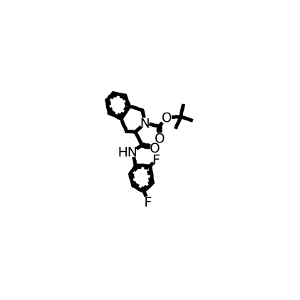 CC(C)(C)OC(=O)N1Cc2ccccc2CC1C(=O)Nc1ccc(F)cc1F